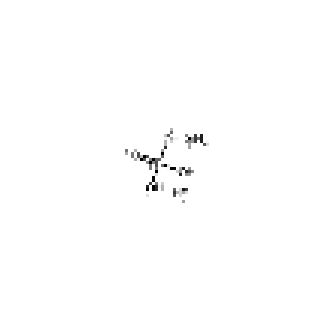 F.O=P(O)(O)O.[SiH4]